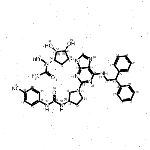 CCCN(C(=O)C(F)(F)F)[C@H]1C[C@@H](n2cnc3c(NCC(c4ccccc4)c4ccccc4)nc(N4CC[C@@H](NC(=O)Nc5ccc(C#N)cc5)C4)nc32)[C@H](O)[C@@H]1O